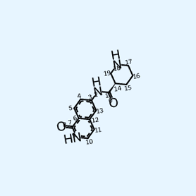 O=C(Nc1ccc2c(=O)[nH]ccc2c1)[C@@H]1CCCNC1